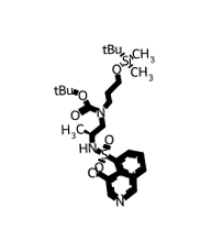 C[C@@H](CN(CCCO[Si](C)(C)C(C)(C)C)C(=O)OC(C)(C)C)NS(=O)(=O)c1cccc2cncc(Cl)c12